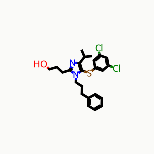 CC(C)c1nc(CCCO)n(CCCc2ccccc2)c1Sc1cc(Cl)cc(Cl)c1